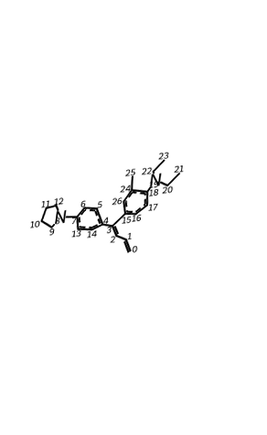 C=CC=C(c1ccc(N2CCCC2)cc1)c1ccc(N(CC)CC)c(C)c1